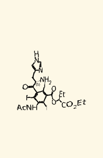 CCOC(=O)C(CC)OC(=O)c1c(I)c(NC(C)=O)c(I)c(C(=O)[C@@H](N)Cc2c[nH]cn2)c1I